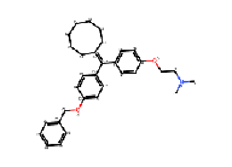 CN(C)CCOc1ccc(C(=C2CCCCCCC2)c2ccc(OCc3ccccc3)cc2)cc1